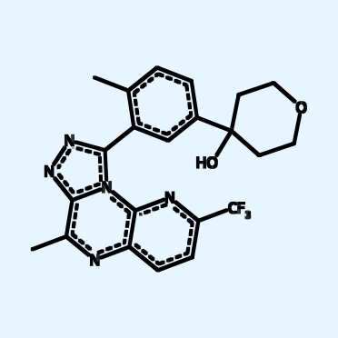 Cc1ccc(C2(O)CCOCC2)cc1-c1nnc2c(C)nc3ccc(C(F)(F)F)nc3n12